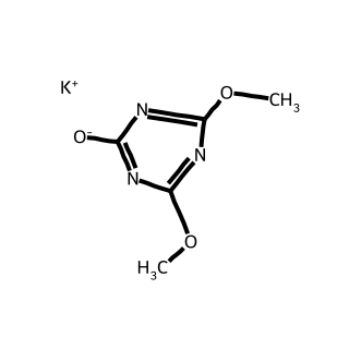 COc1nc([O-])nc(OC)n1.[K+]